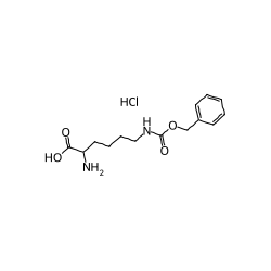 Cl.NC(CCCCNC(=O)OCc1ccccc1)C(=O)O